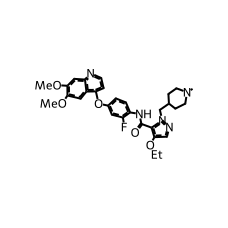 CCOc1cnn(CC2CCN(C)CC2)c1C(=O)Nc1ccc(Oc2ccnc3cc(OC)c(OC)cc23)cc1F